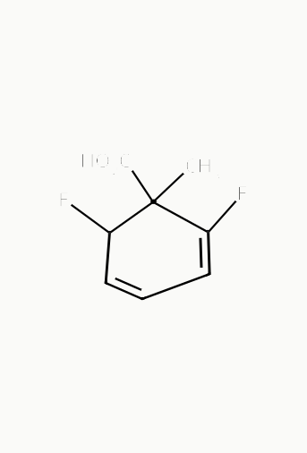 CC1(C(=O)O)C(F)=CC=CC1F